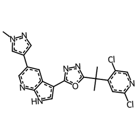 Cn1cc(-c2cnc3[nH]cc(-c4nnc(C(C)(C)c5cc(Cl)ncc5Cl)o4)c3c2)cn1